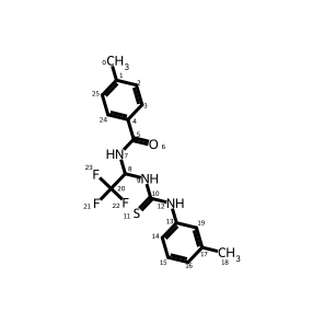 Cc1ccc(C(=O)NC(NC(=S)Nc2cccc(C)c2)C(F)(F)F)cc1